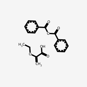 C=C(OCC)C(=O)O.O=C(OC(=O)c1ccccc1)c1ccccc1